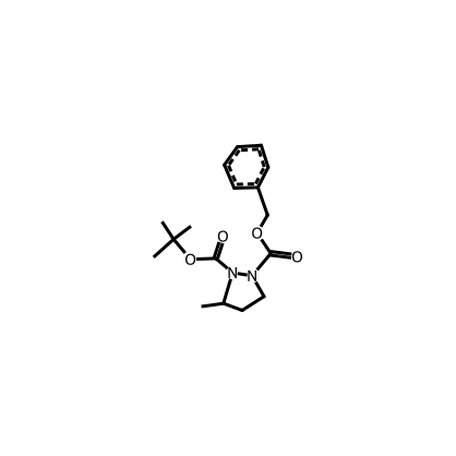 CC1CCN(C(=O)OCc2ccccc2)N1C(=O)OC(C)(C)C